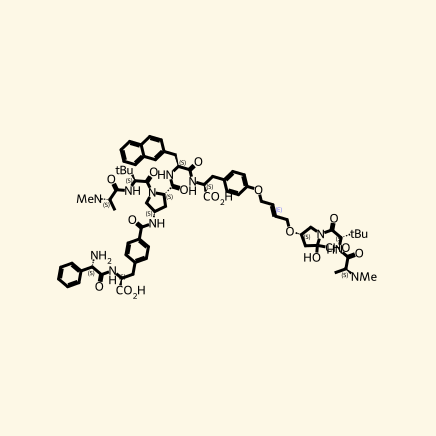 CN[C@@H](C)C(=O)N[C@H](C(=O)N1C[C@@H](NC(=O)c2ccc(C[C@H](NC(=O)[C@@H](N)c3ccccc3)C(=O)O)cc2)C[C@H]1C(=O)N[C@@H](Cc1ccc2ccccc2c1)C(=O)N[C@@H](Cc1ccc(OC/C=C/CO[C@@H]2CN(C(=O)[C@@H](NC(=O)[C@H](C)NC)C(C)(C)C)C(O)(C=O)C2)cc1)C(=O)O)C(C)(C)C